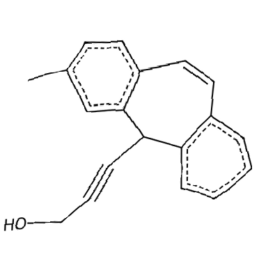 Cc1ccc2c(c1)C(C#CCO)c1ccccc1C=C2